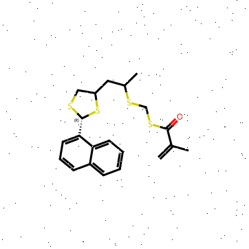 C=C(C)C(=O)SCSC(C)CC1CS[C@@H](c2cccc3ccccc23)S1